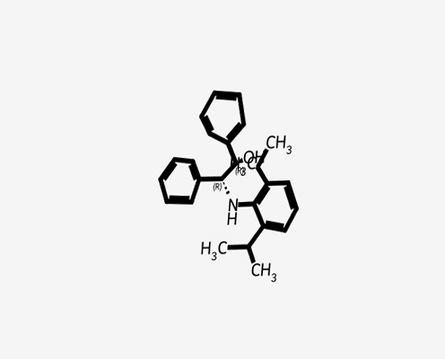 CC(C)c1cccc(C(C)C)c1N[C@H](c1ccccc1)[C@H](O)c1ccccc1